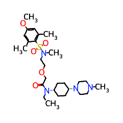 CCN(C(=O)COCCN(C)S(=O)(=O)c1c(C)cc(OC)cc1C)[C@H]1CC[C@@H](N2CCN(C)CC2)CC1